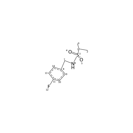 CC(C)S(=O)(=O)NCc1ccc(F)cc1